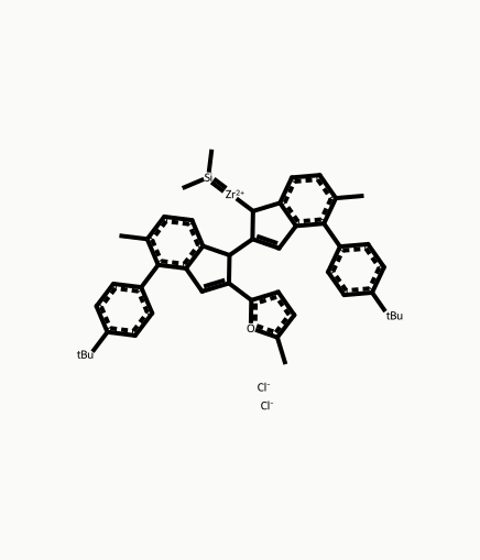 Cc1ccc(C2=Cc3c(ccc(C)c3-c3ccc(C(C)(C)C)cc3)C2C2=Cc3c(ccc(C)c3-c3ccc(C(C)(C)C)cc3)[CH]2[Zr+2]=[Si](C)C)o1.[Cl-].[Cl-]